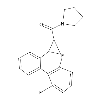 O=C(C1CC1c1ccccc1-c1c(F)cccc1F)N1CCCC1